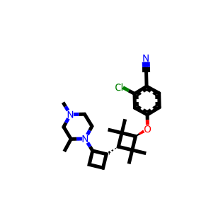 CC1CN(C)CCN1C1CC[C]1[C@H]1C(C)(C)[C@H](Oc2ccc(C#N)c(Cl)c2)C1(C)C